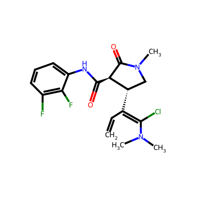 C=C/C(=C(/Cl)N(C)C)[C@H]1CN(C)C(=O)[C@@H]1C(=O)Nc1cccc(F)c1F